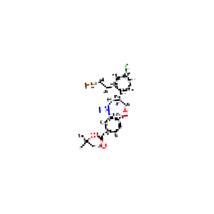 CC(C)(C)OC(=O)c1ccc2c(c1)NC[C@@H](c1ccc(Cl)cc1CCS)CO2